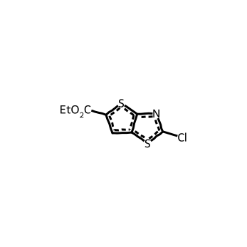 CCOC(=O)c1cc2sc(Cl)nc2s1